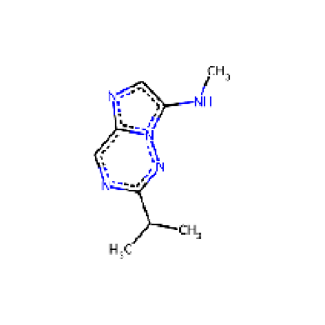 CNc1cnc2cnc(C(C)C)nn12